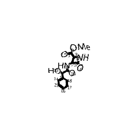 COC(=O)C1NC(=O)C1NC(=O)C(O)c1ccccc1